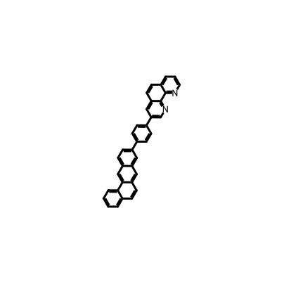 c1ccc2c(c1)ccc1cc3cc(-c4ccc(-c5cnc6c(ccc7cccnc76)c5)cc4)ccc3cc12